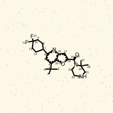 CC(C)(C)c1cc(C2CCC(F)(F)CC2)nc2cc(C(=O)N3CCNCC3(C)C)oc12